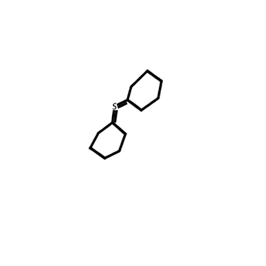 C1CCC(=S=C2CCCCC2)CC1